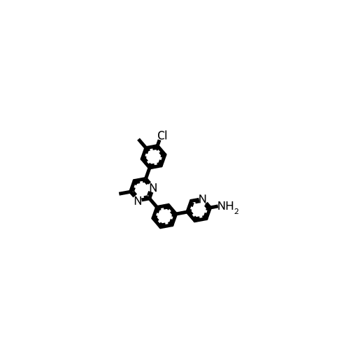 Cc1cc(-c2ccc(Cl)c(C)c2)nc(-c2cccc(-c3ccc(N)nc3)c2)n1